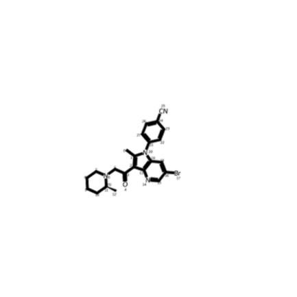 Cc1c(C(=O)CN2CCCC[C@@H]2C)c2ncc(Br)cc2n1-c1ccc(C#N)cc1